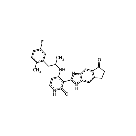 Cc1ccc(F)cc1CC(C)Nc1cc[nH]c(=O)c1-c1nc2cc3c(cc2[nH]1)CCC3=O